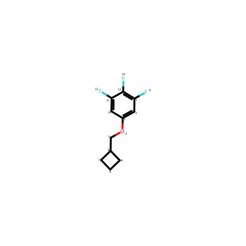 Fc1[c]c(OCC2CCC2)cc(F)c1F